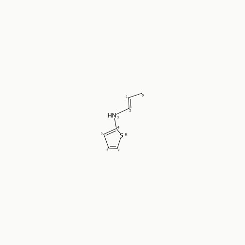 CC=CNc1cccs1